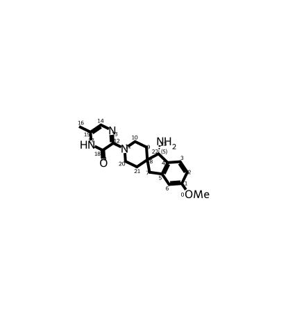 COc1ccc2c(c1)CC1(CCN(c3ncc(C)[nH]c3=O)CC1)[C@@H]2N